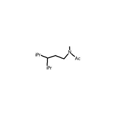 CC(=O)N(C)CCC(C(C)C)C(C)C